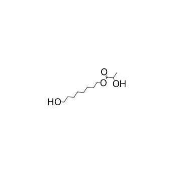 CC(O)C(=O)OCCCCCCCCO